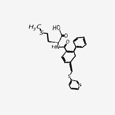 CSCC[C@H](NC(=O)C1=C(c2ccccc2)CC(=CSc2cccnc2)C=C1)C(=O)O